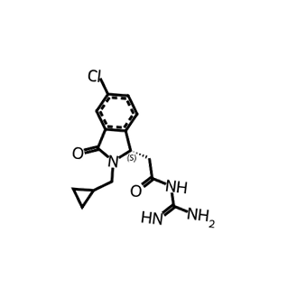 N=C(N)NC(=O)C[C@H]1c2ccc(Cl)cc2C(=O)N1CC1CC1